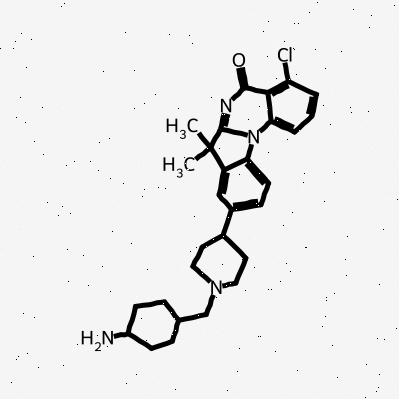 CC1(C)c2cc(C3CCN(CC4CCC(N)CC4)CC3)ccc2-n2c1nc(=O)c1c(Cl)cccc12